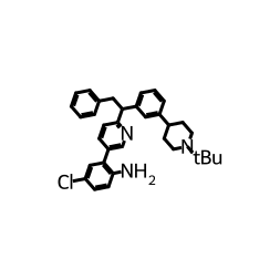 CC(C)(C)N1CCC(c2cccc(C(Cc3ccccc3)c3ccc(-c4cc(Cl)ccc4N)cn3)c2)CC1